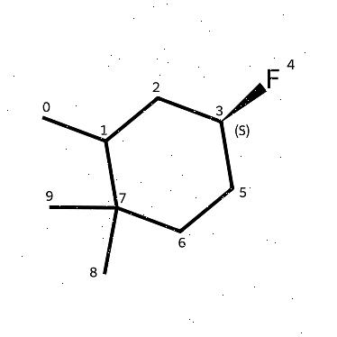 CC1C[C@@H](F)CCC1(C)C